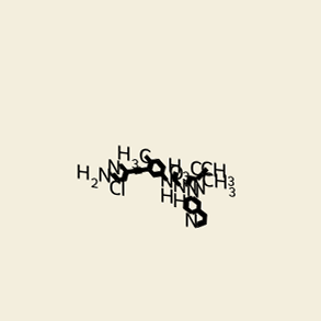 Cc1ccc(NC(=O)Nc2cc(C(C)(C)C)nn2-c2ccc3ncccc3c2)cc1C#Cc1cnc(N)c(Cl)c1